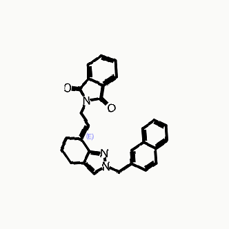 O=C1c2ccccc2C(=O)N1C/C=C1\CCCc2cn(Cc3ccc4ccccc4c3)nc21